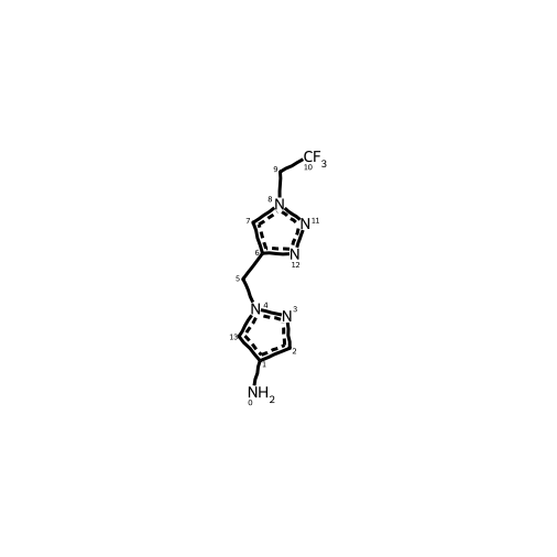 Nc1cnn(Cc2cn(CC(F)(F)F)nn2)c1